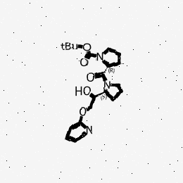 CC(C)(C)OC(=O)N1CCC[C@@H]1C(=O)N1CCC[C@H]1C(O)COc1ccccn1